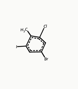 Cc1c(Cl)cc(Br)cc1I